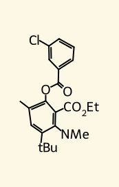 CCOC(=O)c1c(NC)c(C(C)(C)C)cc(C)c1OC(=O)c1cccc(Cl)c1